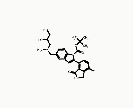 CN(Cc1ccc2c(c1)cc(-c1ccc(Cl)c3c1C(=O)NC3)n2C(=O)OC(C)(C)C)CC(O)CO